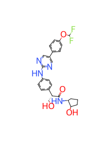 O=C(N[C@H]1CCC[C@H]1O)[C@H](CO)c1ccc(Nc2ncc(-c3ccc(OC(F)F)cc3)cn2)cc1